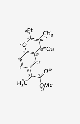 CCc1oc2ccc(C(C)C(=O)OC)cc2c(=O)c1C